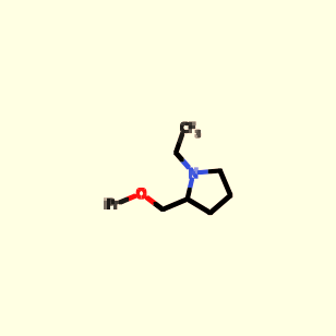 CC(C)OCC1CCCN1CC(F)(F)F